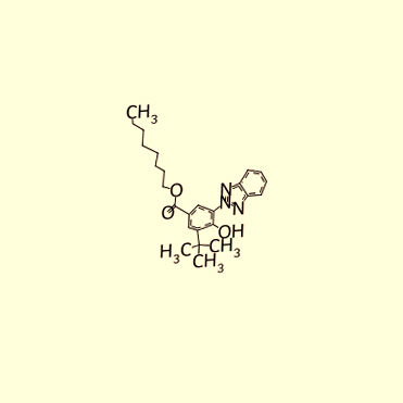 CCCCCCCCOC(=O)c1cc(-n2nc3ccccc3n2)c(O)c(C(C)(C)C)c1